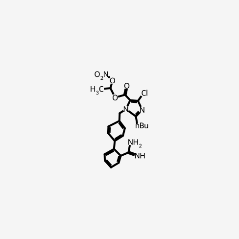 CCCCc1nc(Cl)c(C(=O)OC(C)O[N+](=O)[O-])n1Cc1ccc(-c2ccccc2C(=N)N)cc1